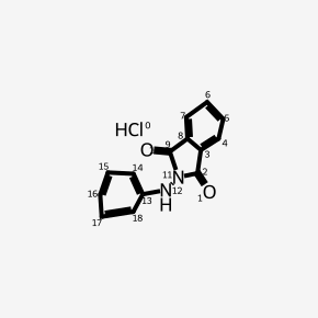 Cl.O=C1c2ccccc2C(=O)N1Nc1ccccc1